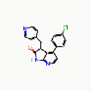 O=C1Nc2nccc(-c3ccc(Cl)cc3)c2C1Cc1ccncc1